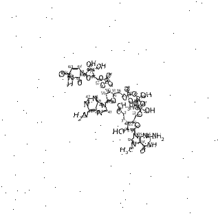 COCC[C@H]1[C@@H](O)[C@H](n2c[n+](C)c3c(=O)[nH]c(N)nc32)O[C@@H]1COP(=O)(O)OP(=O)(O)OP(=O)(O)OC[C@H]1O[C@@H](n2cnc3c(N)ncnc32)C[C@@H]1OP(=O)([O-])OC[C@H]1O[C@@H](n2ccc(=O)[nH]c2=O)[C@H](O)[C@@H]1O